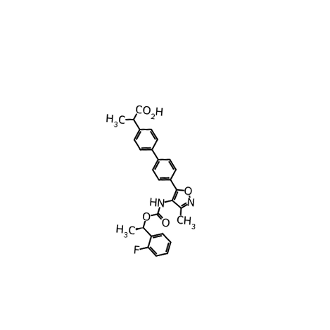 Cc1noc(-c2ccc(-c3ccc(C(C)C(=O)O)cc3)cc2)c1NC(=O)O[C@H](C)c1ccccc1F